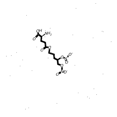 N[C@@H](CCC(=O)OCCCC(CO[N+](=O)[O-])O[N+](=O)[O-])C(=O)O